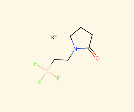 O=C1CCCN1CC[B-](F)(F)F.[K+]